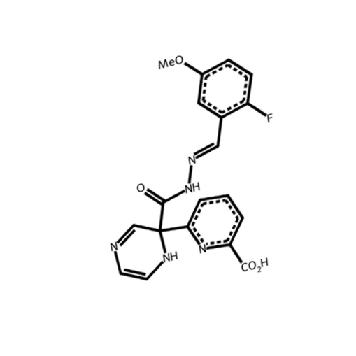 COc1ccc(F)c(C=NNC(=O)C2(c3cccc(C(=O)O)n3)C=NC=CN2)c1